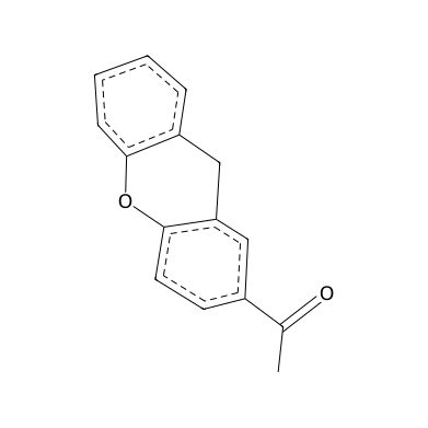 CC(=O)c1ccc2c(c1)Cc1ccccc1O2